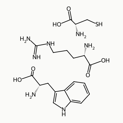 N=C(N)NCCC[C@H](N)C(=O)O.N[C@@H](CS)C(=O)O.N[C@@H](Cc1c[nH]c2ccccc12)C(=O)O